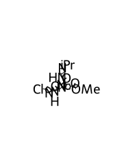 COC(=O)c1ccc2c(c1)c(C(=O)NC1CCN(C(C)C)CC1)nn2CC(=O)Nc1ccc(Cl)cn1